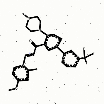 COc1ccc(/C=C/C(=O)c2cc(-c3cccc(C(F)(F)F)c3)ccc2N2CCN(C)CC2)c(F)c1